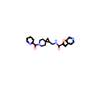 O=C(NCC1CC12CCN(C(=O)c1ccccn1)CC2)c1cc2ccncc2o1